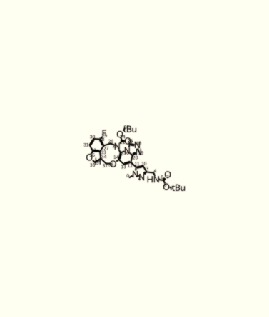 Cn1nc(CNC(=O)OC(C)(C)C)cc1-c1cc2c(n3cnnc13)N(C(=O)OC(C)(C)C)Cc1c(F)ccc3c1[C@H](CO3)CO2